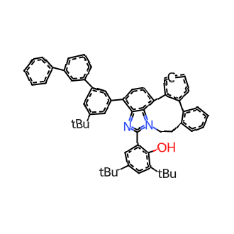 CC(C)(C)c1cc(-c2cccc(-c3ccccc3)c2)cc(-c2ccc3c4c2nc(-c2cc(C(C)(C)C)cc(C(C)(C)C)c2O)n4CCc2ccccc2-c2ccccc2-3)c1